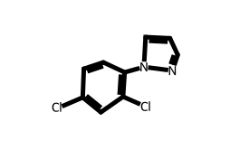 Clc1ccc(-n2cccn2)c(Cl)c1